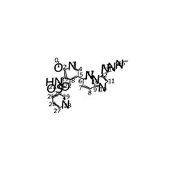 COc1ncc(-c2ccc3ncc(N=[N+]=[N-])n3n2)cc1NS(=O)(=O)c1cccnc1